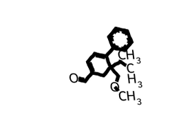 COCC1(C(C)C)CC(C=O)=CC=C1c1ccccc1